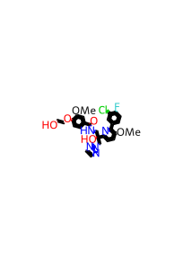 COc1cc(C(=O)NCC(O)(Cn2nccn2)c2ccc(OC)c(-c3ccc(F)c(Cl)c3)n2)ccc1OCCO